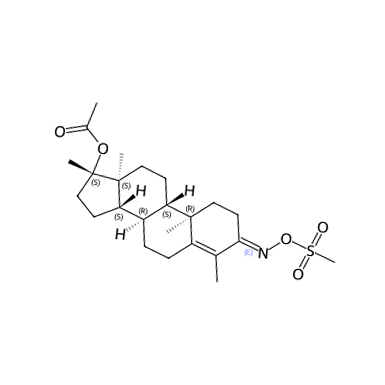 CC(=O)O[C@@]1(C)CC[C@H]2[C@@H]3CCC4=C(C)/C(=N/OS(C)(=O)=O)CC[C@]4(C)[C@H]3CC[C@@]21C